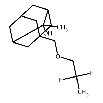 CC(F)(F)COCC12CC3CC(C1)C(C)(O)C(C3)C2